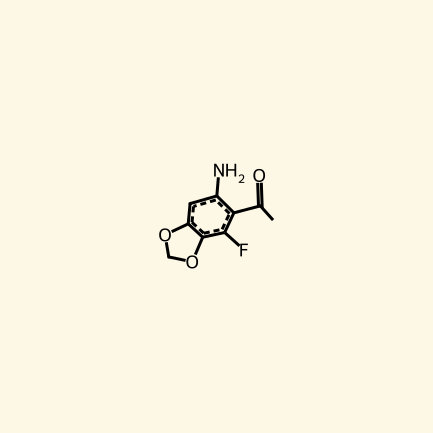 CC(=O)c1c(N)cc2c(c1F)OCO2